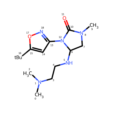 CN(C)CCNC1CN(C)C(=O)N1c1cc(C(C)(C)C)on1